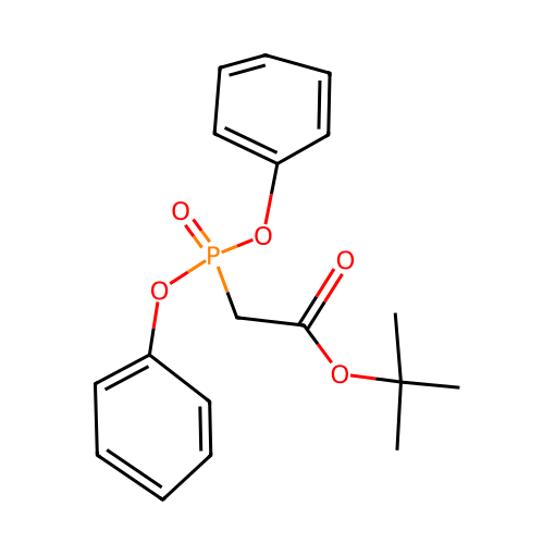 CC(C)(C)OC(=O)CP(=O)(Oc1ccccc1)Oc1ccccc1